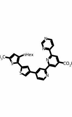 CCCCCCc1cc(C)sc1-c1cc(-c2ccnc(-c3cc(C(=O)O)cc(-c4ccncn4)n3)c2)cs1